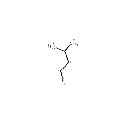 CC(C)[CH]CF